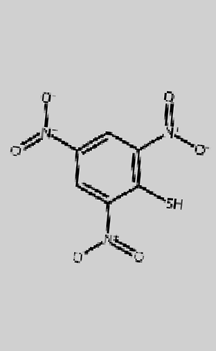 O=[N+]([O-])c1cc([N+](=O)[O-])c(S)c([N+](=O)[O-])c1